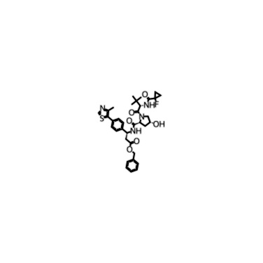 Cc1ncsc1-c1ccc([C@H](CC(=O)OCc2ccccc2)NC(=O)[C@@H]2C[C@@H](O)CN2C(=O)[C@@H](NC(=O)C2(F)CC2)C(C)(C)C)cc1